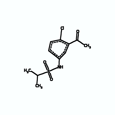 CC(=O)c1cc(NS(=O)(=O)C(C)C)ccc1Cl